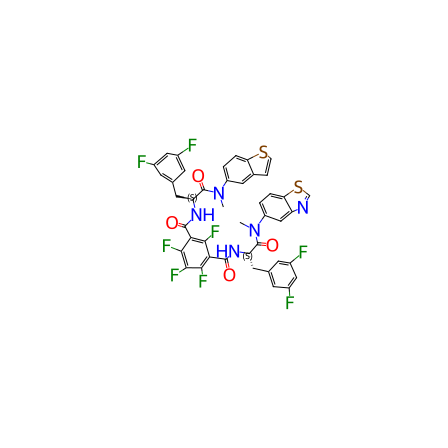 CN(C(=O)[C@H](Cc1cc(F)cc(F)c1)NC(=O)c1c(F)c(F)c(F)c(C(=O)N[C@@H](Cc2cc(F)cc(F)c2)C(=O)N(C)c2ccc3scnc3c2)c1F)c1ccc2sccc2c1